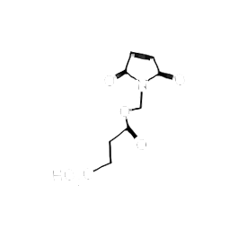 O=C(O)CCC(=O)OCN1C(=O)C=CC1=O